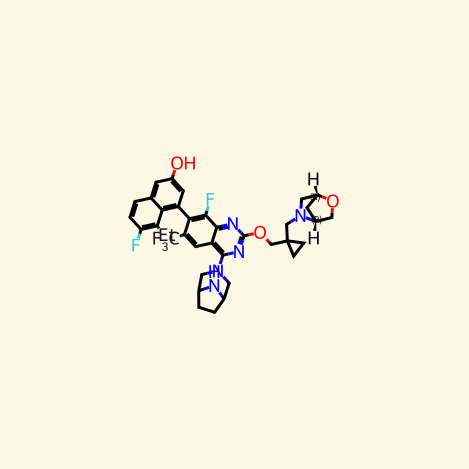 CCc1c(F)ccc2cc(O)cc(-c3c(C(F)(F)F)cc4c(N5CC6CCC(C5)N6)nc(OCC5(CN6C[C@H]7C[C@@H]6CO7)CC5)nc4c3F)c12